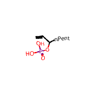 C=CC(CCCCC)OP(=O)(O)O